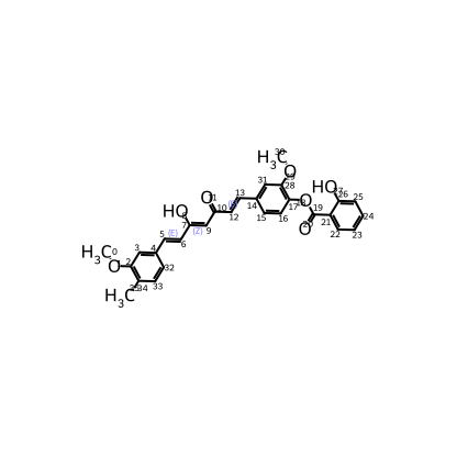 COc1cc(/C=C/C(O)=C/C(=O)/C=C/c2ccc(OC(=O)c3ccccc3O)c(OC)c2)ccc1C